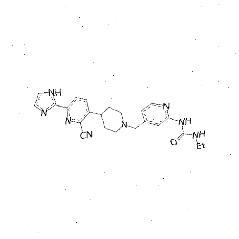 CCNC(=O)Nc1cc(CN2CCC(c3ccc(-c4ncc[nH]4)nc3C#N)CC2)ccn1